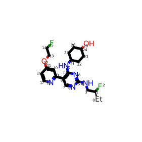 CC[C@H](F)CNc1ncc(-c2cc(OCCF)ccn2)c(NC2CCC(O)CC2)n1